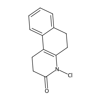 O=C1CCC2=C(CCc3ccccc32)N1Cl